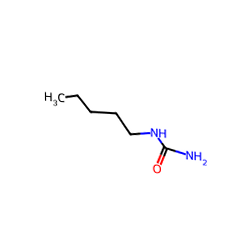 CCCCCNC(N)=O